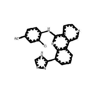 N#Cc1ccc(Nc2nc3c(-c4nnc[nH]4)cccc3c3cnccc23)c(Cl)c1